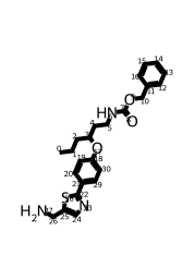 CCCC(CCNC(=O)OCc1ccccc1)Oc1ccc(-c2ncc(CN)s2)cc1